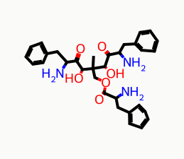 CC(COC(=O)C(N)Cc1ccccc1)(C(O)C(=O)C(N)Cc1ccccc1)C(O)C(=O)C(N)Cc1ccccc1